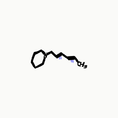 C/C=C/C=C/CN1CCCCC1